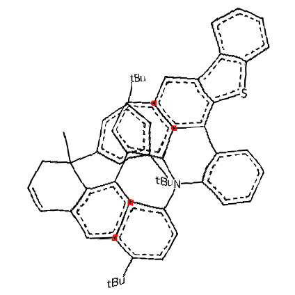 CC(C)(C)c1ccc(N(c2ccccc2-c2cccc3c2C(C)(c2cc(C(C)(C)C)cc(C(C)(C)C)c2)CC=C3)c2ccccc2-c2cccc3c2sc2ccccc23)cc1